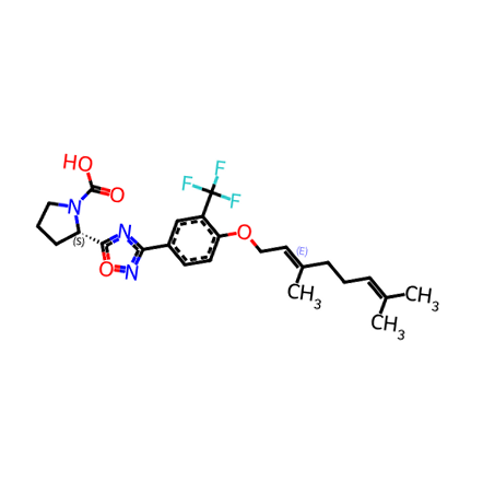 CC(C)=CCC/C(C)=C/COc1ccc(-c2noc([C@@H]3CCCN3C(=O)O)n2)cc1C(F)(F)F